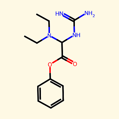 CCN(CC)C(NC(=N)N)C(=O)Oc1ccccc1